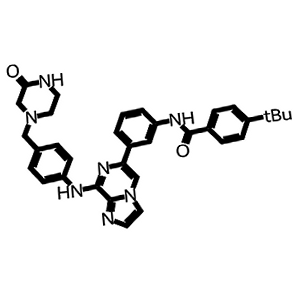 CC(C)(C)c1ccc(C(=O)Nc2cccc(-c3cn4ccnc4c(Nc4ccc(CN5CCNC(=O)C5)cc4)n3)c2)cc1